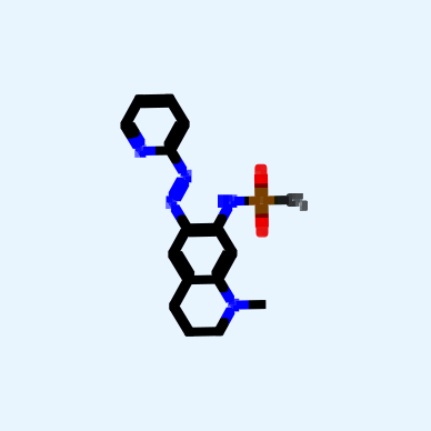 CN1CCCc2cc(N=Nc3ccccn3)c(NS(=O)(=O)C(F)(F)F)cc21